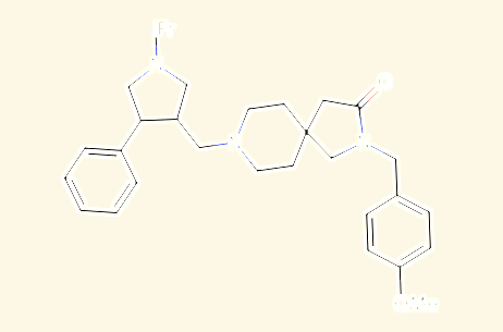 COc1ccc(CN2CC3(CCN(CC4CN(C(C)C)CC4c4ccccc4)CC3)CC2=O)cc1